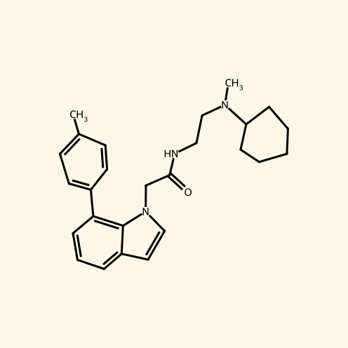 Cc1ccc(-c2cccc3ccn(CC(=O)NCCN(C)C4CCCCC4)c23)cc1